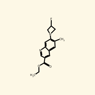 CCOC(=O)c1cnc2cc(N3CC(F)C3)c(C)cc2c1